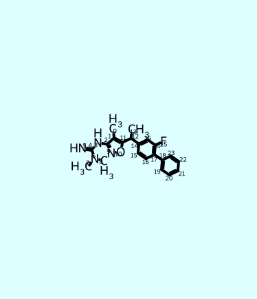 Cc1c(NC(=N)N(C)C)noc1C(C)c1ccc(-c2ccccc2)c(F)c1